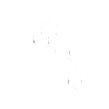 CN(c1nc(F)ccc1[N+](=O)[O-])C1CCN(Cc2ccccc2)CC1